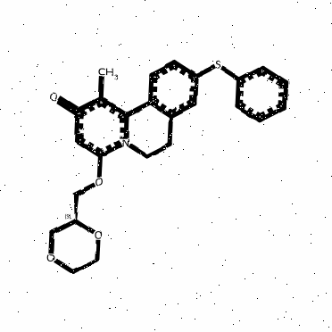 Cc1c2n(c(OC[C@@H]3COCCO3)cc1=O)CCc1cc(Sc3ccccc3)ccc1-2